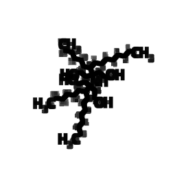 CCCCCCCCC(CCCCCC)C(CCO)(CCO)NC(CCO)(CCO)C(CCCCCC)CCCCCCCC